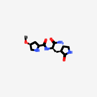 CCO[C@H]1CNC(C(=O)N[C@@H](C[C@@H]2CCNC2=O)C(N)=O)C1